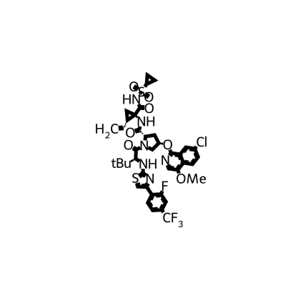 C=C[C@@H]1C[C@]1(NC(=O)[C@@H]1C[C@@H](Oc2ncc(OC)c3ccc(Cl)cc23)CN1C(=O)[C@@H](Nc1nc(-c2ccc(C(F)(F)F)cc2F)cs1)C(C)(C)C)C(=O)NS(=O)(=O)C1CC1